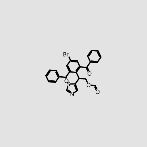 O=COCC(c1cncs1)c1c(C(=O)c2ccccc2)cc(Br)cc1C(=O)c1ccccc1